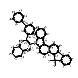 CC1(C)c2ccccc2-c2ccc3c(ccc4c3c3ccccc3n4/C=C(/N=C3/C=CC=CC3=N)c3cccc(-c4ccccc4)c3)c21